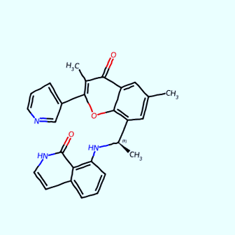 Cc1cc([C@@H](C)Nc2cccc3cc[nH]c(=O)c23)c2oc(-c3cccnc3)c(C)c(=O)c2c1